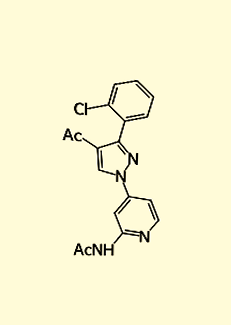 CC(=O)Nc1cc(-n2cc(C(C)=O)c(-c3ccccc3Cl)n2)ccn1